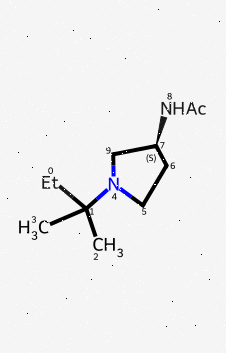 CCC(C)(C)N1CC[C@H](NC(C)=O)C1